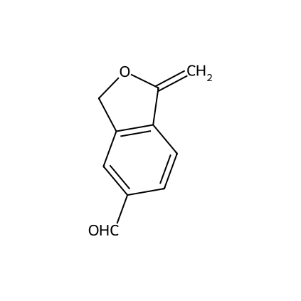 C=C1OCc2cc(C=O)ccc21